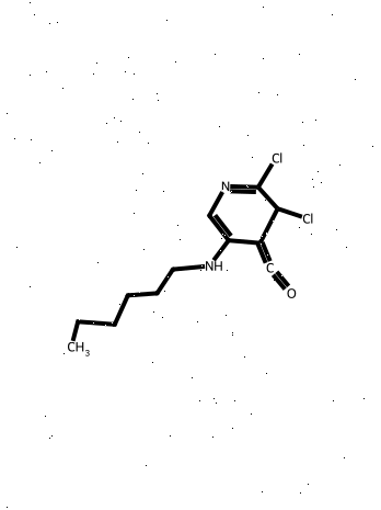 CCCCCCNC1=CN=C(Cl)C(Cl)C1=C=O